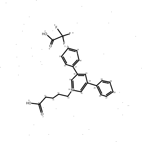 O=C(O)C(F)(F)F.O=C(O)CCCC[n+]1cc(-c2ccccc2)cc(-c2ccccc2)c1